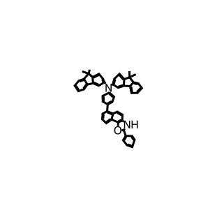 CC1(C)c2ccccc2-c2cc(N(c3ccc(-c4cccc5c6c(ccc45)NC(c4ccccc4)O6)cc3)c3ccc4c(c3)-c3ccccc3C4(C)C)ccc21